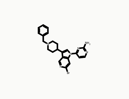 Nc1nccc(-n2cc(C3CCN(Cc4ccccc4)CC3)c3cnc(Br)cc32)n1